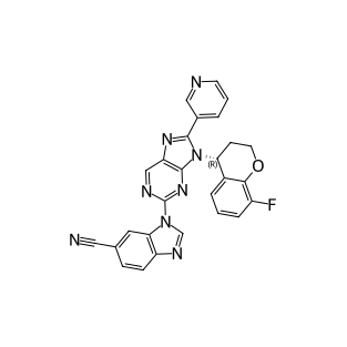 N#Cc1ccc2ncn(-c3ncc4nc(-c5cccnc5)n([C@@H]5CCOc6c(F)cccc65)c4n3)c2c1